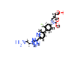 NCCn1nnc(-c2ccc(-c3ccc(N4CC(CO)OC4=O)cc3F)cn2)n1